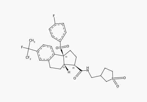 CC(F)(c1ccc2c(c1)CC[C@H]1[C@H](C(=O)NCC3CCS(=O)(=O)C3)CC[C@@]21S(=O)(=O)c1ccc(F)cc1)C(F)(F)F